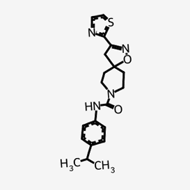 CC(C)c1ccc(NC(=O)N2CCC3(CC2)CC(c2nccs2)=NO3)cc1